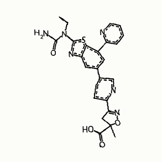 CCN(C(N)=O)c1nc2cc(-c3ccc(C4=NOC(C)(C(=O)O)C4)nc3)cc(-c3ccccn3)c2s1